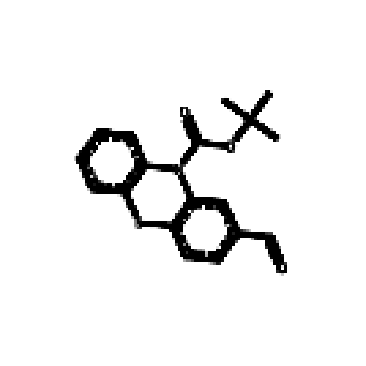 CC(C)(C)OC(=O)N1c2ccccc2Sc2ccc(C=O)cc21